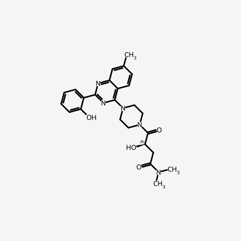 Cc1ccc2c(N3CCN(C(=O)[C@H](O)CC(=O)N(C)C)CC3)nc(-c3ccccc3O)nc2c1